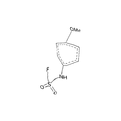 COc1ccc(NS(=O)(=O)F)cc1